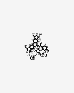 CCC1C=C(C(C)(C)C)C=[C]1/[Zr+2](=[C](/C)c1ccc(C)cc1)[CH]1c2cc3c(cc2-c2cc4c(cc21)C(C)(C)C=C4C)C(C)=CC3(C)C.[Cl-].[Cl-]